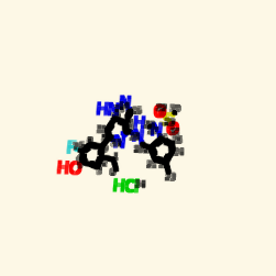 CCc1cc(O)c(F)cc1-c1cc2[nH]ncc2c(NCc2cc(C)ccc2N(C)S(C)(=O)=O)n1.Cl